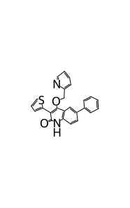 O=c1[nH]c2ccc(-c3ccccc3)cc2c(OCc2ccccn2)c1-c1cccs1